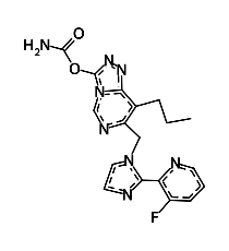 CCCc1c(Cn2ccnc2-c2ncccc2F)ncn2c(OC(N)=O)nnc12